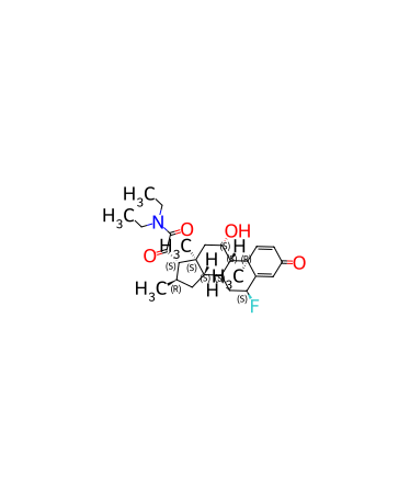 CCN(CC)C(=O)C(=O)[C@H]1[C@H](C)C[C@H]2[C@@H]3C[C@H](F)C4=CC(=O)C=C[C@]4(C)[C@H]3[C@@H](O)C[C@@]21C